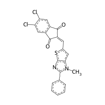 Cn1c(-c2ccccc2)nc2sc(C=C3C(=O)c4cc(Cl)c(Cl)cc4C3=O)cc21